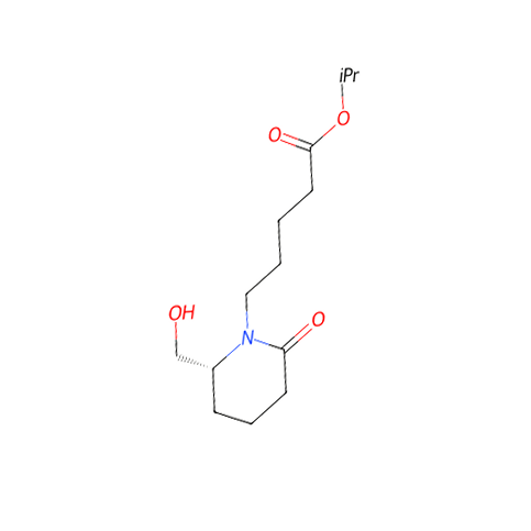 CC(C)OC(=O)CCCCN1C(=O)CCC[C@@H]1CO